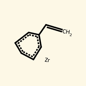 C=Cc1ccccc1.[Zr]